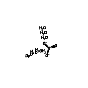 O.O.O.O.O.O.O=[N+]([O-])[O-].[Dy]